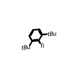 CC(C)(C)c1cccc(C(C)(C)C)[c]1[Ti]